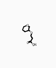 O=C(O)CCOC1CCCOC1